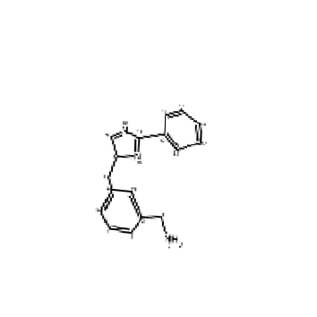 NCc1cccc(CC2C=NC(c3ccccc3)=N2)c1